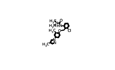 Cc1cnn(-c2ccc(OCc3c(Cl)cccc3NC(=O)N(C)N)c(C)c2)c1